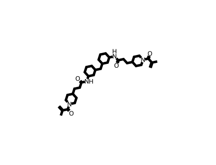 C=C(C)C(=O)N1CCC(CCC(=O)NC2CCCC(CC3CCCC(NC(=O)CCC4CCN(C(=O)C(=C)C)CC4)C3)C2)CC1